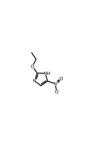 CCOc1ncc([N+](=O)[O-])[nH]1